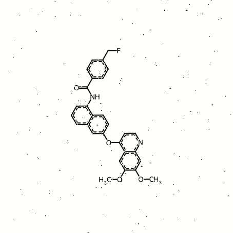 COc1cc2nccc(Oc3ccc4c(NC(=O)c5ccc(CF)cc5)cccc4c3)c2cc1OC